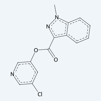 Cn1nc(C(=O)Oc2cncc(Cl)c2)c2ccccc21